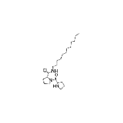 CCCCCCCCCCCCNC(=O)C1CCCN1C(=O)C1CCCN1